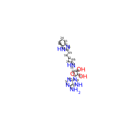 Nc1ncnc2c1NCN2[C@@H]1O[C@H](CNC2CC(CCc3nc4ccccc4[nH]3)C2)[C@@H](O)[C@H]1O